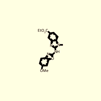 CCOC(=O)c1ccc2c(c1)nc(Nc1nc3ccc(OC)cc3o1)n2C